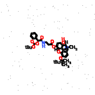 CN1CC[C@]23c4c5ccc(O[Si](C)(C)C(C)(C)C)c4O[C@H]2C(OC(=O)CCNC(=O)[C@@H](OC(=O)OC(C)(C)C)c2ccccc2)=CC[C@@]3(O)[C@H]1C5